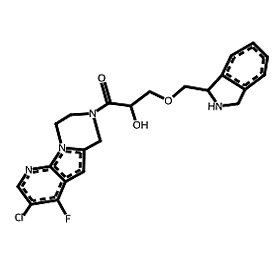 O=C(C(O)COCC1NCc2ccccc21)N1CCn2c(cc3c(F)c(Cl)cnc32)C1